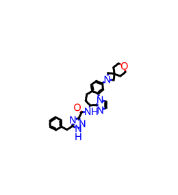 O=C(N[C@H]1CCc2ccc(N3CC4(CCOCC4)C3)cc2-n2ccnc21)c1n[nH]c(Cc2ccccc2)n1